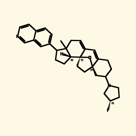 CC12CC=C3C=C4CCC(N5CC[C@H](F)C5)C[C@]45CC[C@]3(O5)[C@@H]1CCC2c1ccc2ccncc2c1